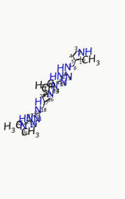 Cc1[nH]ccc1CNc1nnc(N(C)Cn2cc(CNc3nnc(N(C)C)[nH]3)cc2C)[nH]1